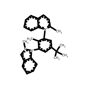 Cc1c(-[n+]2c(C)ccc3ccccc32)cc(C(C)(C)C)cc1-[n+]1c2ccccc2cn1C